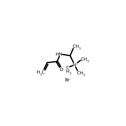 C=CC(=O)NC(C)[N+](C)(C)C.[Br-]